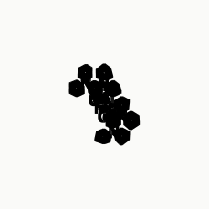 c1ccc(N(c2ccccc2)c2cc3c4c(c2)N(c2ccccc2)c2ccccc2B4c2nc4c(nc2O3)Oc2cc(N(c3ccccc3)c3ccccc3)cc3c2B4c2ccccc2N3c2ccccc2)cc1